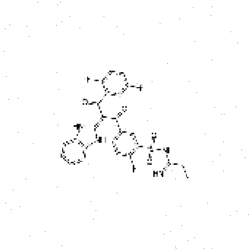 CCC(=N)NS(=O)(=O)c1cc(C(=O)C(C(=O)c2cc(F)ccc2F)=C2Nc3ccccc3N2)ccc1F